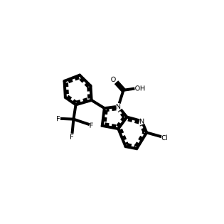 O=C(O)n1c(-c2ccccc2C(F)(F)F)cc2ccc(Cl)nc21